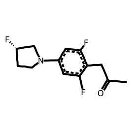 CC(=O)Cc1c(F)cc(N2CC[C@H](F)C2)cc1F